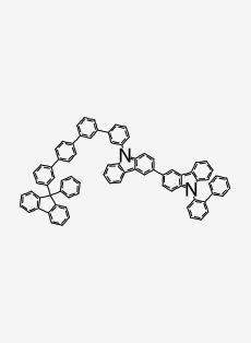 c1ccc(-c2ccccc2-n2c3ccccc3c3cc(-c4ccc5c(c4)c4ccccc4n5-c4cccc(-c5cccc(-c6ccc(-c7cccc(C8(c9ccccc9)c9ccccc9-c9ccccc98)c7)cc6)c5)c4)ccc32)cc1